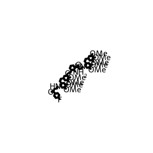 COc1cc(/C=C\c2cc(OC)c(OC)c(OC)c2)c(N/C=C\C(=O)c2cccc(COc3cc(/C=C\c4cc(OC)c(OC)cc4NCCC(=O)c4ccc(F)cc4)cc(OC)c3OC)c2N)cc1OC